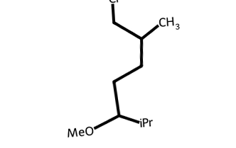 COC(CCC(C)CCl)C(C)C